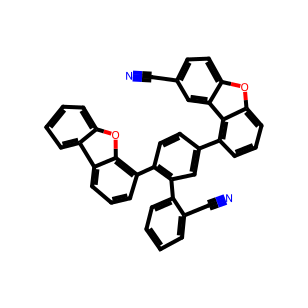 N#Cc1ccc2oc3cccc(-c4ccc(-c5cccc6c5oc5ccccc56)c(-c5ccccc5C#N)c4)c3c2c1